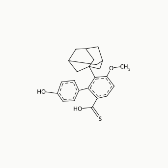 COc1ccc(C(O)=S)c(-c2ccc(O)cc2)c1C12CC3CC(CC(C3)C1)C2